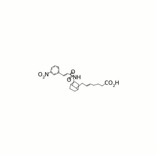 O=C(O)CCCC=CCC1C2CCC(CC2)C1NS(=O)(=O)C=Cc1cccc([N+](=O)[O-])c1